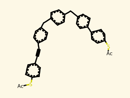 CC(=O)Sc1ccc(C#Cc2ccc(Cc3ccc(Cc4ccc(-c5ccc(SC(C)=O)cc5)cc4)cc3)cc2)cc1